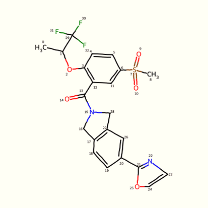 CC(Oc1ccc(S(C)(=O)=O)cc1C(=O)N1Cc2ccc(-c3ncco3)cc2C1)C(F)(F)F